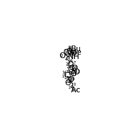 COC(=O)C(Cc1ccc(OS(=O)(=O)Oc2ccccc2OC(=O)CCC(C)=O)cc1)NC(=O)OC(C)(C)C